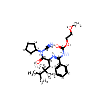 COCCOC(=O)NC(=NC(CC(C)(C)C(C)C)C(=O)N(C#N)C1CCCC1)c1ccccc1